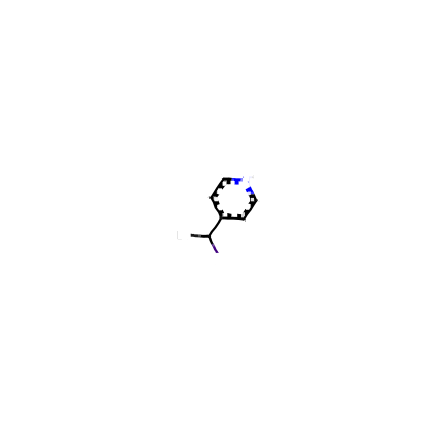 CCC(I)c1ccncc1